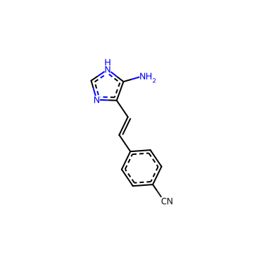 N#Cc1ccc(C=Cc2nc[nH]c2N)cc1